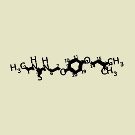 CCNC(=S)NCCOc1ccc(OCC=C(C)C)cc1